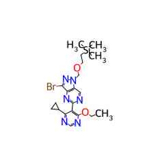 CCOc1ncnc(C2CC2)c1-c1ncc2c(n1)c(Br)nn2COCC[Si](C)(C)C